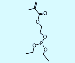 C=C(C)C(=O)OCCOP(OCC)OCC